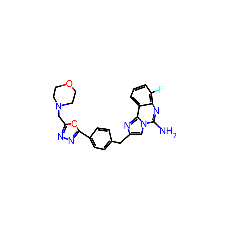 Nc1nc2c(F)cccc2c2nc(Cc3ccc(-c4nnc(CN5CCOCC5)o4)cc3)cn12